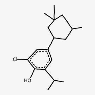 CC1CC(c2cc(Cl)c(O)c(C(C)C)c2)CC(C)(C)C1